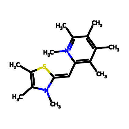 CC1=C(C)N(C)C(=Cc2c(C)c(C)c(C)c(C)[n+]2C)S1